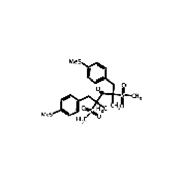 CSc1ccc(CC(C)(C(=O)C(C)(Cc2ccc(SC)cc2)S(C)(=O)=O)S(C)(=O)=O)cc1